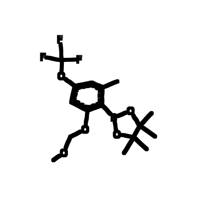 COCOc1cc(OC(F)(F)F)cc(C)c1B1OC(C)(C)C(C)(C)O1